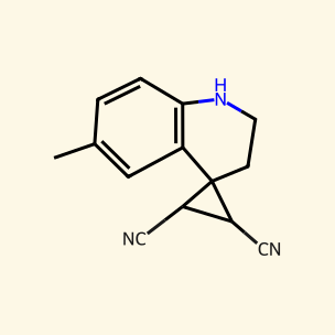 Cc1ccc2c(c1)C1(CCN2)C(C#N)C1C#N